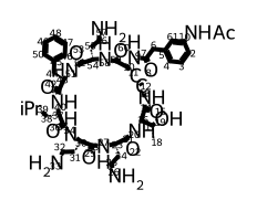 CC(=O)Nc1cccc(CC(=O)N[C@H]2CCNC(=O)[C@H]([C@@H](C)O)NC(=O)[C@H](CCN)NC(=O)[C@H](CCN)NC(=O)[C@H](CC(C)C)NC(=O)[C@@H](Cc3ccccc3)NC(=O)[C@H](CCN)NC2=O)c1